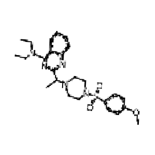 CCN(CC)c1nc(C(C)N2CCN(S(=O)(=O)c3ccc(OC)cc3)CC2)nc2ccccc12